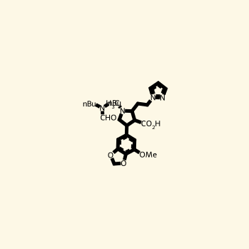 CCCCN(C=O)CCCC.COc1cc(C2CN(C)C(CCn3cccn3)C2C(=O)O)cc2c1OCO2